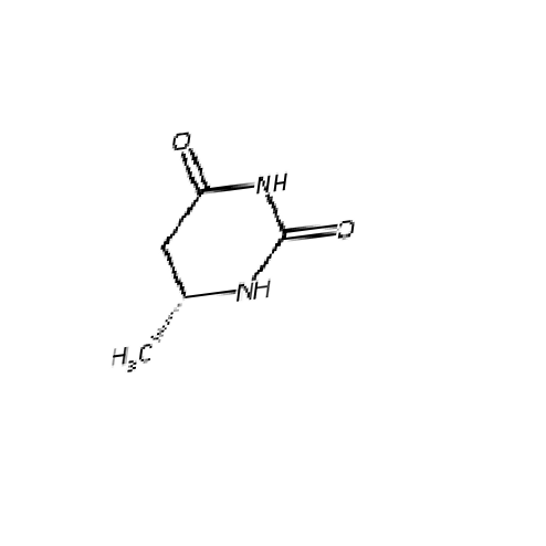 C[C@@H]1CC(=O)NC(=O)N1